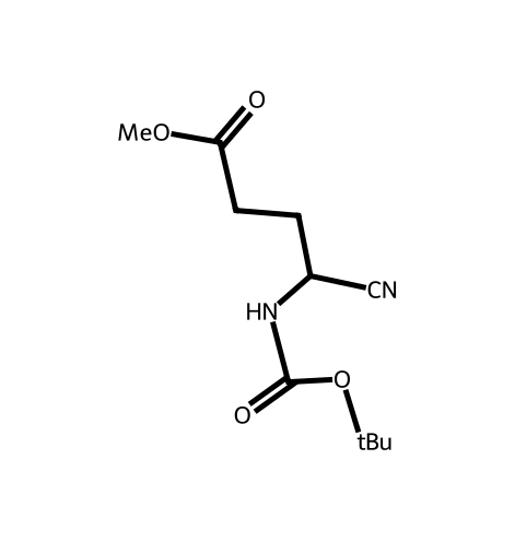 COC(=O)CCC(C#N)NC(=O)OC(C)(C)C